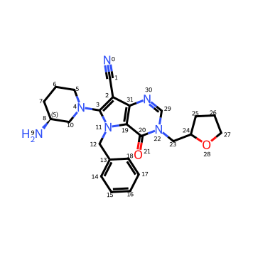 N#Cc1c(N2CCC[C@H](N)C2)n(Cc2ccccc2)c2c(=O)n(CC3CCCO3)cnc12